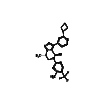 Cc1cc(N2C[C@H](C)n3ncc(-c4ccnc(N5CCC5)c4)c3C2=O)ccc1C(F)(F)F